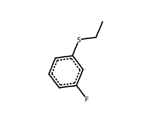 CCSc1[c]c(F)ccc1